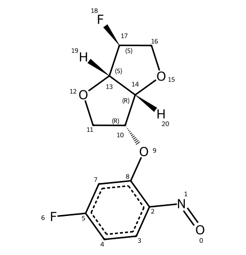 O=Nc1ccc(F)cc1O[C@@H]1CO[C@H]2[C@@H]1OC[C@@H]2F